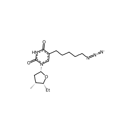 CC[C@H]1O[C@@H](n2cc(CCCCCN=[N+]=[N-])c(=O)[nH]c2=O)C[C@H]1C